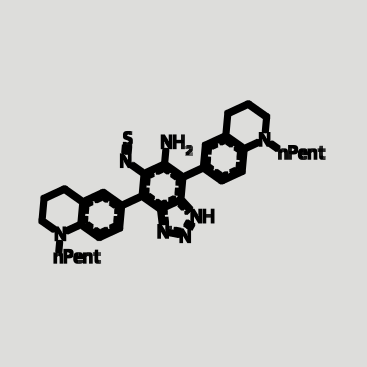 CCCCCN1CCCc2cc(-c3c(N=S)c(N)c(-c4ccc5c(c4)CCCN5CCCCC)c4[nH]nnc34)ccc21